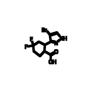 O=C(O)C1CCC(F)(F)CC1c1n[nH]cc1Br